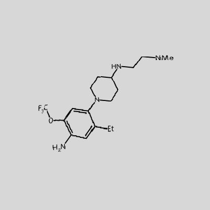 CCc1cc(N)c(OC(F)(F)F)cc1N1CCC(NCCNC)CC1